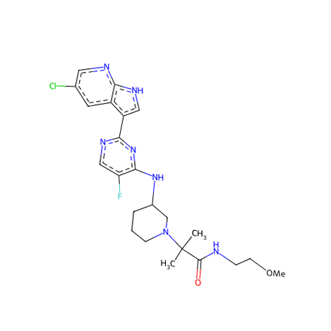 COCCNC(=O)C(C)(C)N1CCCC(Nc2nc(-c3c[nH]c4ncc(Cl)cc34)ncc2F)C1